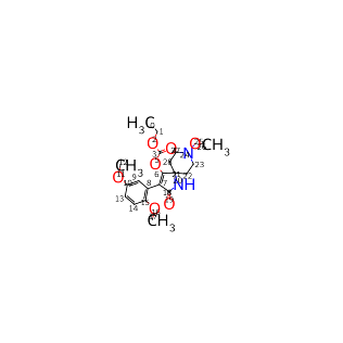 CCOC(=O)OC1=C(c2cc(OC)ccc2OC)C(=O)NC12CCN(OC)CC2